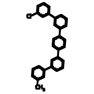 Cc1cccc(-c2cccc(-c3ccc(-c4cccc(-c5cccc(Cl)c5)c4)cc3)c2)c1